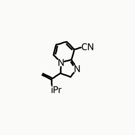 C=C(C(C)C)C1CN=C2C(C#N)=CC=CN21